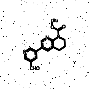 CC(C)(C)OC(=O)N1CCCc2cc(-c3cncc(C=O)c3)cnc21